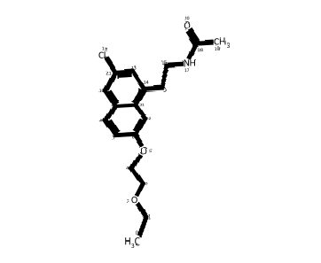 CCOCCOc1ccc2cc(Cl)cc(CCNC(C)=O)c2c1